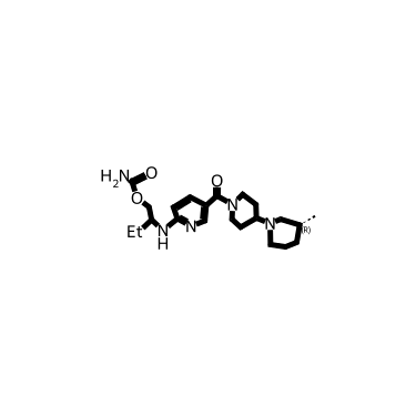 CCC(COC(N)=O)Nc1ccc(C(=O)N2CCC(N3CCC[C@@H](C)C3)CC2)cn1